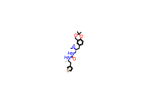 C[C@@H](Cc1ccsc1)NC(=O)NC[C@H](Cc1ccc2c(c1)COC(C)(C)O2)N(C)C